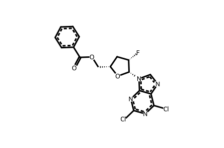 O=C(OC[C@@H]1C[C@H](F)[C@H](n2cnc3c(Cl)nc(Cl)nc32)O1)c1ccccc1